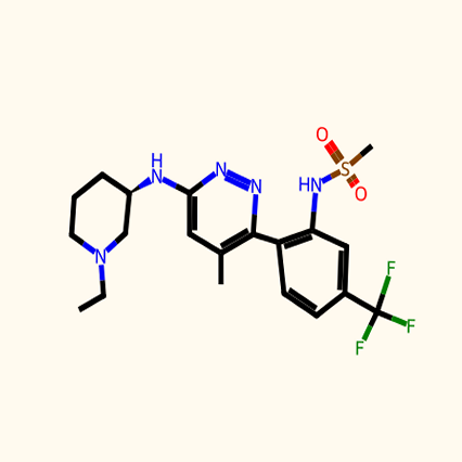 CCN1CCC[C@@H](Nc2cc(C)c(-c3ccc(C(F)(F)F)cc3NS(C)(=O)=O)nn2)C1